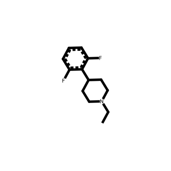 CCN1CCC(c2c(F)cccc2F)CC1